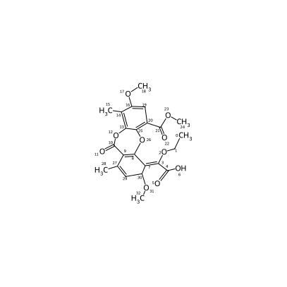 CCOC(C(=O)O)=C1C2=C(C(=O)Oc3c(C)c(OC)cc(C(=O)OC)c3O2)C(C)=CC1OC